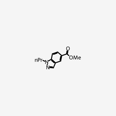 CCCn1ncc2cc(C(=O)OC)ccc21